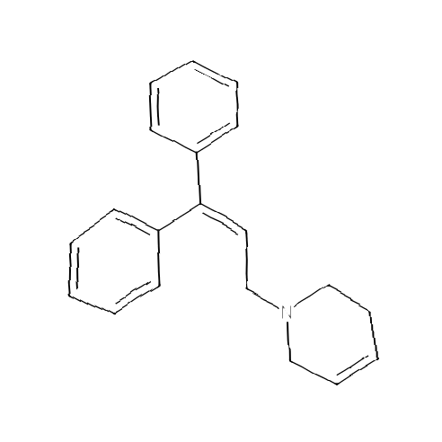 C1=CCN(CC=C(c2ccccc2)c2ccccc2)CC1